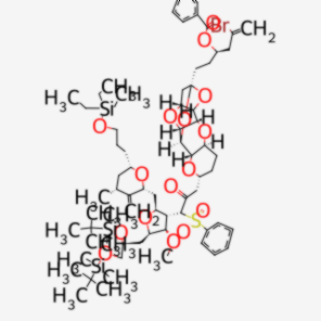 C=C(Br)C[C@@H](CC[C@@]12C[C@H]3O[C@H]4[C@@H](O1)[C@H]1O[C@@H](CC(=O)C([C@@H]5[C@@H](OC)[C@@H](C[C@@H](CO[Si](C)(C)C(C)(C)C)O[Si](C)(C)C(C)(C)C)O[C@H]5C[C@H]5O[C@@H](CCCO[Si](CC)(CC)CC)C[C@@H](C)C5=C)S(=O)(=O)c5ccccc5)CC[C@@H]1O[C@H]4[C@H]3O2)OC(=O)c1ccccc1